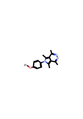 Cc1nnc(C)c2c(C)n(-c3ccc(OC(C)C)cc3)c(C)c12